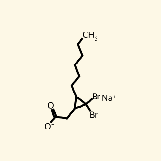 CCCCCCC1C(CC(=O)[O-])C1(Br)Br.[Na+]